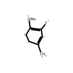 COC1=C(F)C=C(C)CC1